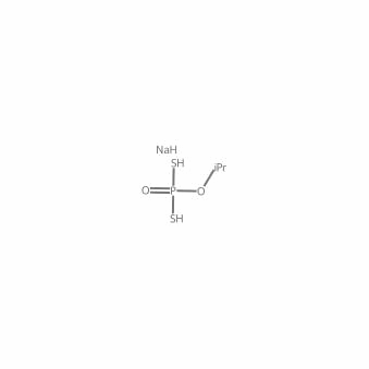 CC(C)OP(=O)(S)S.[NaH]